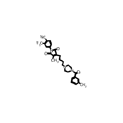 CC1=C(CCCCN2CCN(C(=O)c3cccc(C)c3)CC2)C(=O)N(c2ccc(C#N)c(C(F)(F)F)c2)C1=O